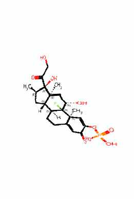 C[C@@H]1C[C@H]2[C@@H]3CCC4=CC(=O)C(OP(=O)(O)O)=C[C@]4(C)[C@@]3(F)[C@@H](O)C[C@]2(C)[C@@]1(O)C(=O)CO